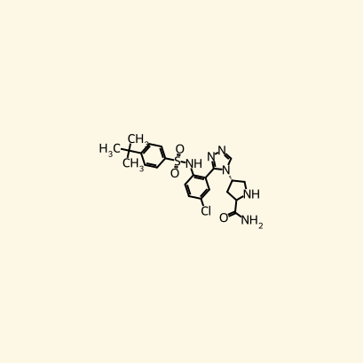 CC(C)(C)c1ccc(S(=O)(=O)Nc2ccc(Cl)cc2-c2nncn2[C@@H]2CNC(C(N)=O)C2)cc1